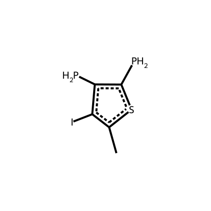 Cc1sc(P)c(P)c1I